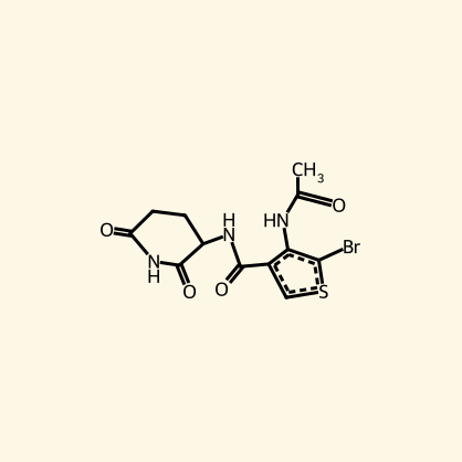 CC(=O)Nc1c(C(=O)NC2CCC(=O)NC2=O)csc1Br